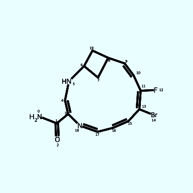 NC(=O)C1=CNC2CC(C=CC(F)=C(Br)C=CC=N1)C2